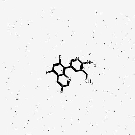 CCc1cc(-c2c(F)cc(F)c3cc(F)cnc23)cnc1N